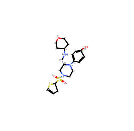 O=S(=O)(C1CC=CS1)N1CCN(c2ccc(O)cc2)[C@@H](CNC2CCOCC2)C1